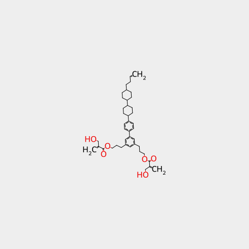 C=CCCC1CCC(C2CCC(c3ccc(-c4cc(CCCOC(=O)C(=C)CO)cc(CCCOC(=O)C(=C)CO)c4)cc3)CC2)CC1